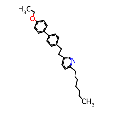 CCCCCCCc1ccc(CCc2ccc(-c3ccc(OCC)cc3)cc2)cn1